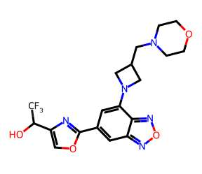 OC(c1coc(-c2cc(N3CC(CN4CCOCC4)C3)c3nonc3c2)n1)C(F)(F)F